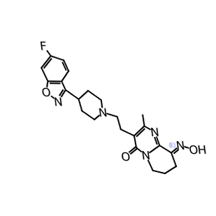 Cc1nc2n(c(=O)c1CCN1CCC(c3noc4cc(F)ccc34)CC1)CCC/C2=N\O